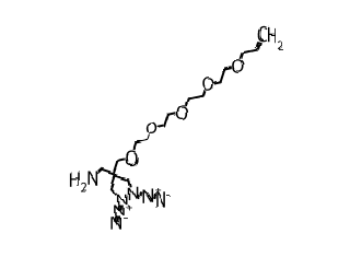 C=CCOCCOCCOCCOCCOCC(CN)(CN=[N+]=[N-])CN=[N+]=[N-]